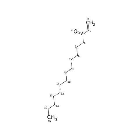 C=CC(=O)CCCCCCCCCCCCC